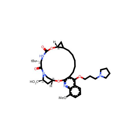 COc1cccc2c(OCCCN3CCCC3)c3c(nc12)O[C@@H]1C[C@@H](C(=O)O)N(C1)C(=O)[C@H](C(C)(C)C)NC(=O)O[C@@H]1CC1CCCCC3